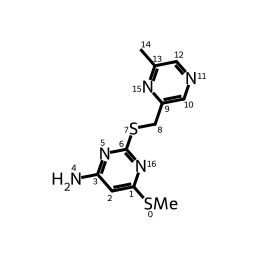 CSc1cc(N)nc(SCc2cncc(C)n2)n1